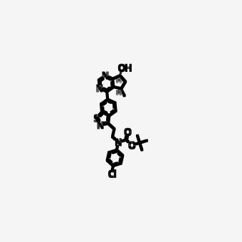 C[C@@H]1C[C@@H](O)c2ncnc(-c3ccc4c(CCN(C(=O)OC(C)(C)C)c5ccc(Cl)cc5)nsc4c3)c21